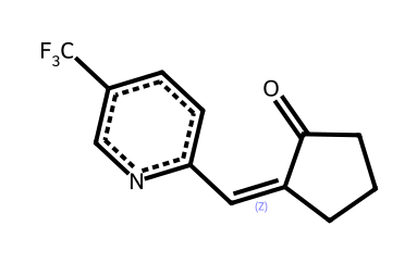 O=C1CCC/C1=C/c1ccc(C(F)(F)F)cn1